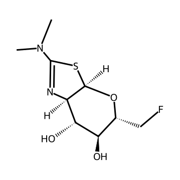 CN(C)C1=N[C@@H]2[C@@H](O)[C@H](O)[C@@H](CF)O[C@@H]2S1